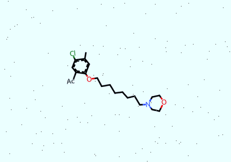 CC(=O)c1cc(Cl)c(C)cc1OCCCCCCCCN1CCOCC1